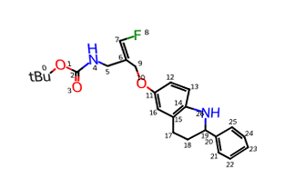 CC(C)(C)OC(=O)NC/C(=C/F)COc1ccc2c(c1)CCC(c1ccccc1)N2